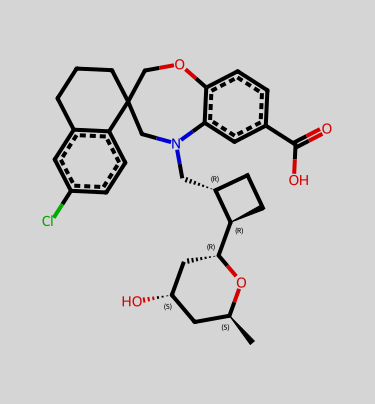 C[C@H]1C[C@H](O)C[C@H]([C@@H]2CC[C@H]2CN2CC3(CCCc4cc(Cl)ccc43)COc3ccc(C(=O)O)cc32)O1